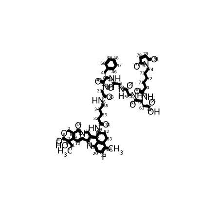 CC[C@@]1(O)C(=O)OCc2c1cc1n(c2=O)Cc2c-1nc1cc(F)c(C)c3c1c2[C@@H](NC(=O)CCCCNC(=O)CNC(=O)[C@H](Cc1ccccc1)NC(=O)CNC(=O)CNC(=O)[C@H](CC(=O)O)NC(=O)CCCCCN1C(=O)C=CC1=O)CC3